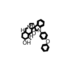 C[C@@H]1[C@H]2C[C@@H]3N(CC[C@@]34C(=O)N(c3ccc(Oc5ccccc5)cc3)c3ccccc34)C[C@@H]2CC[C@@H]1O